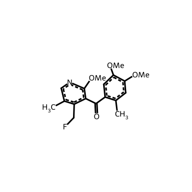 COc1cc(C)c(C(=O)c2c(OC)ncc(C)c2CF)cc1OC